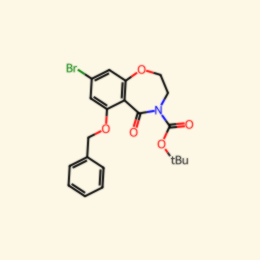 CC(C)(C)OC(=O)N1CCOc2cc(Br)cc(OCc3ccccc3)c2C1=O